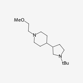 COCCN1CCC(C2CCN(C(C)(C)C)C2)CC1